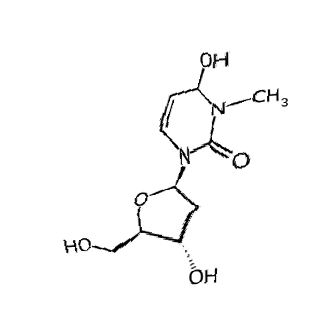 CN1C(=O)N([C@H]2C[C@H](O)[C@@H](CO)O2)C=CC1O